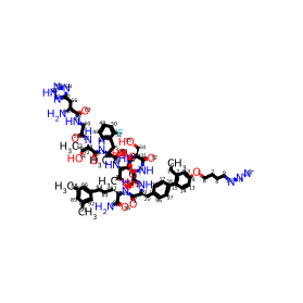 CCc1cc(OCCCCN=[N+]=[N-])ccc1-c1ccc(C[C@H](NC(=O)[C@H](CC(=O)O)NC(=O)[C@H](CO)NC(=O)[C@@H](NC(=O)[C@](C)(Cc2ccccc2F)NC(=O)[C@@H](NC(=O)CNC(=O)[C@@H](N)Cc2nn[nH]n2)[C@@H](C)O)[C@@H](C)O)C(=O)N[C@@H](CCCc2cc(C)cc(C)c2)C(N)=O)cc1